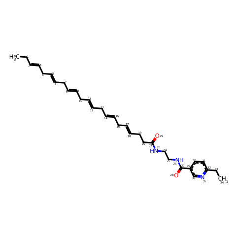 CCC=CCC=CCC=CCC=CCC=CCC=CCCC(=O)NCCNC(=O)c1ccc(CC)nc1